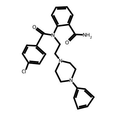 NC(=O)c1ccccc1N(CCN1CCN(c2ccccc2)CC1)C(=O)c1ccc(Cl)cc1